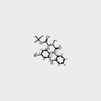 C[C@H](NC(=O)OC(C)(C)C)C(=O)Nc1ccccc1Nc1cccc(Br)c1